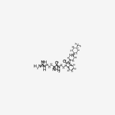 CC(C)[C@H]1CC[C@@H](N2CCC(N3C(=O)C(CCNC(=O)[C@@H](N)CCCNC(=N)N)c4ccccc43)CC2)CC1